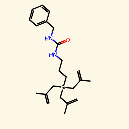 C=C(C)C[Si](CCCNC(=O)NCc1ccccc1)(CC(=C)C)CC(=C)C